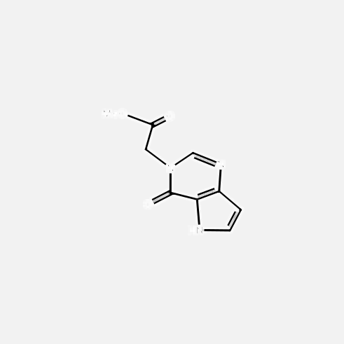 COC(=O)Cn1cnc2cc[nH]c2c1=O